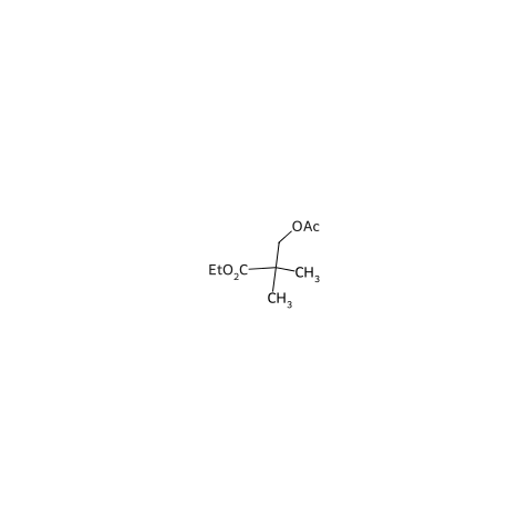 CCOC(=O)C(C)(C)COC(C)=O